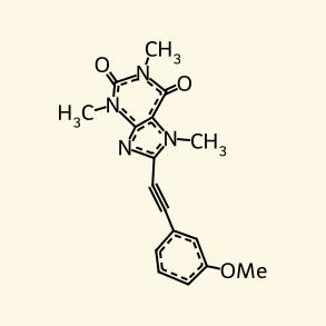 COc1cccc(C#Cc2nc3c(c(=O)n(C)c(=O)n3C)n2C)c1